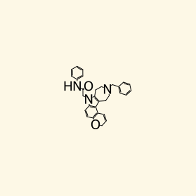 O=C(Cn1c2c(c3c4c(ccc31)OCC=C4)CCN(Cc1ccccc1)CC2)Nc1ccccc1